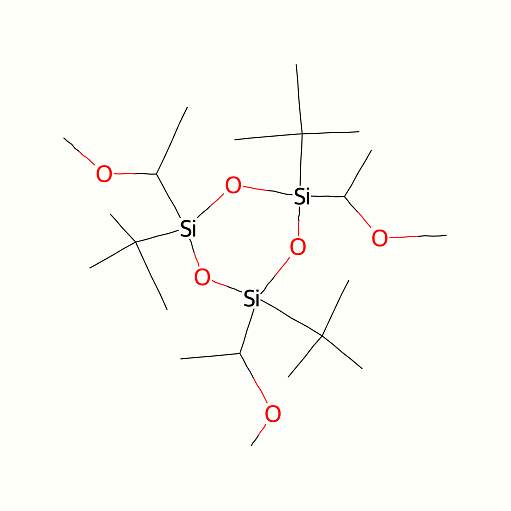 COC(C)[Si]1(C(C)(C)C)O[Si](C(C)OC)(C(C)(C)C)O[Si](C(C)OC)(C(C)(C)C)O1